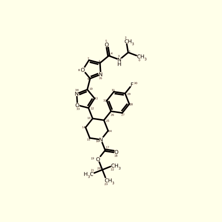 CC(C)NC(=O)c1coc(-c2cc(C3CCN(C(=O)OC(C)(C)C)CC3c3ccc(F)cc3)on2)n1